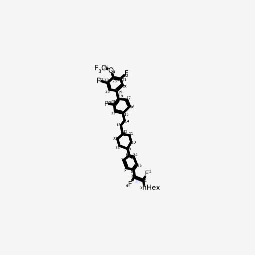 CCCCCC/C(F)=C(\F)c1ccc(C2CCC(CCc3ccc(-c4cc(F)c(OC(F)(F)F)c(F)c4)c(F)c3)CC2)cc1